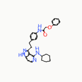 O=C(COc1ccccc1)Nc1ccc(CCc2n[nH]c3ccnc(NC4CCCCC4)c23)cc1